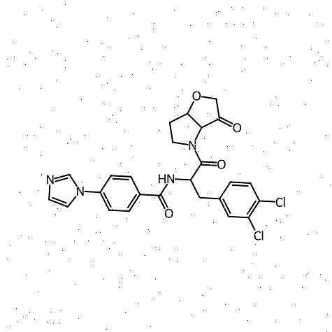 O=C(NC(Cc1ccc(Cl)c(Cl)c1)C(=O)N1CCC2OCC(=O)C21)c1ccc(-n2ccnc2)cc1